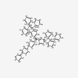 c1ccc(-c2ccc(-c3ccc(N(c4ccc(-c5cccc(-c6ccccc6)c5-c5ccccc5)cc4)c4ccc5c(-c6ccccc6)c(-c6ccccc6)c6ccccc6c5c4)cc3)cc2)cc1